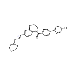 O=C(c1ccc(-c2ccc(Cl)cc2)cc1)N1CCCc2cc(/C=C/CN3CCCCC3)ccc21